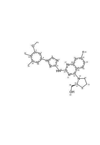 COc1cc(-n2cnc(Nc3nc(N4CCC[C@H]4CO)c4ccc(F)cc4n3)c2)cc(C)c1C